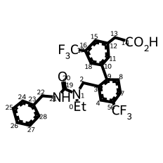 CCN(Cc1cc(C(F)(F)F)ccc1-c1cc(CC(=O)O)cc(C(F)(F)F)c1)C(=O)NCc1ccccc1